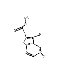 COC(=O)c1sc2cc[n+]([O-])cc2c1Br